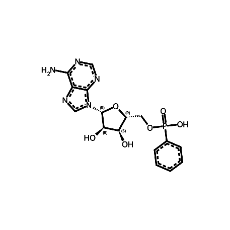 Nc1ncnc2c1ncn2[C@@H]1O[C@H](COP(=O)(O)c2ccccc2)[C@@H](O)[C@H]1O